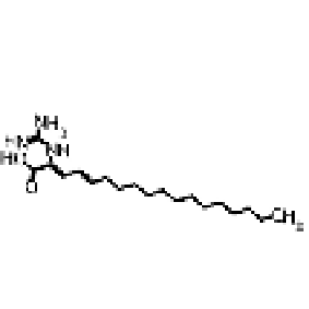 CCCCCCCCCCCCCC=CC=C(NC(=N)N)C(=O)O